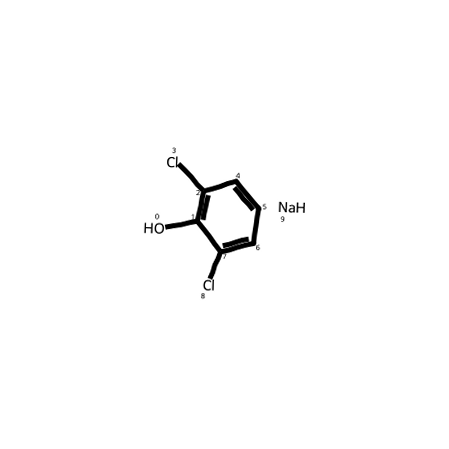 Oc1c(Cl)cccc1Cl.[NaH]